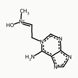 C[N+](O)=CCn1cnc2ncnc-2c1N